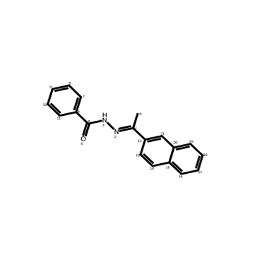 C/C(=N\NC(=O)c1ccccc1)c1ccc2ccccc2c1